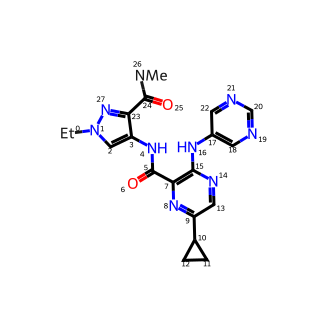 CCn1cc(NC(=O)c2nc(C3CC3)cnc2Nc2cncnc2)c(C(=O)NC)n1